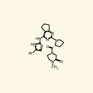 CC(C)c1cnc(Nc2nc(N3CCC[C@@H]3C(=O)N3CCN(C)C(=O)C3)nc3c2CCC3)[nH]1